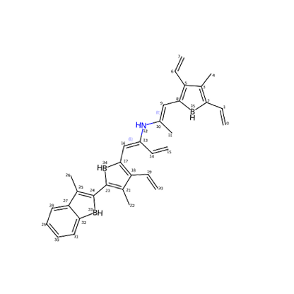 C=CC1=C(C)C(C=C)=C(/C=C(\C)N/C(C=C)=C/C2=C(C=C)C(C)=C(C3=C(C)c4ccccc4B3)B2)B1